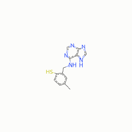 Cc1ccc(S)c(CNc2ncnc3nc[nH]c23)c1